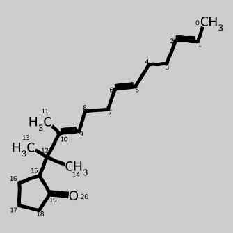 CC=CCCC=CCCC=C(C)C(C)(C)C1CCCC1=O